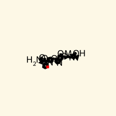 COc1cc2c(Oc3ccc(N(C(=O)C4(C(N)=O)CC4)c4ccccc4)nc3)ccnc2cc1OCCCN1CC(O)C2(CC2)C1